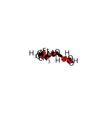 CCc1cc(-c2cccc3cc(-c4ccc(C(=O)NCC#Cc5cccc(NC6CCC(=O)NC6=O)c5)nc4)ncc23)c2c(n1)N(C)C(=O)N(C)C2